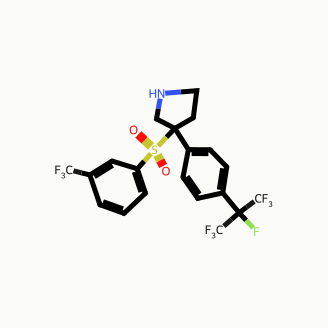 O=S(=O)(c1cccc(C(F)(F)F)c1)C1(c2ccc(C(F)(C(F)(F)F)C(F)(F)F)cc2)CCNC1